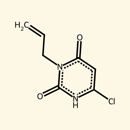 C=CCn1c(=O)cc(Cl)[nH]c1=O